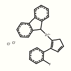 Fc1ccccc1C1=[C]([Zr+2][CH]2c3ccccc3-c3ccccc32)CC=C1.[Cl-].[Cl-]